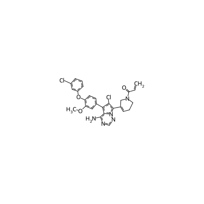 C=CC(=O)N1CCC=C(c2c(Cl)c(-c3ccc(Oc4cccc(Cl)c4)c(OC)c3)c3c(N)ncnn23)C1